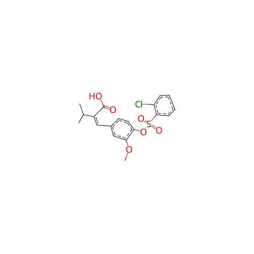 COc1cc(C=C(C(=O)O)C(C)C)ccc1OS(=O)(=O)c1ccccc1Cl